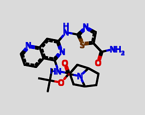 CC(C)(C)OC(=O)N1C2CCC1CC(Nc1nc(Nc3ncc(C(N)=O)s3)cc3ncccc13)C2